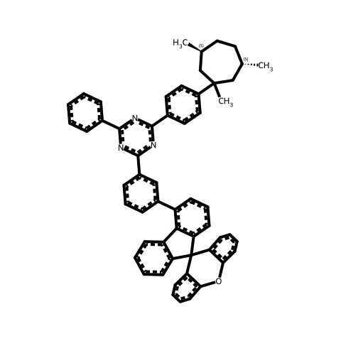 C[C@H]1CC[C@H](C)CC(C)(c2ccc(-c3nc(-c4ccccc4)nc(-c4cccc(-c5cccc6c5-c5ccccc5C65c6ccccc6Oc6ccccc65)c4)n3)cc2)C1